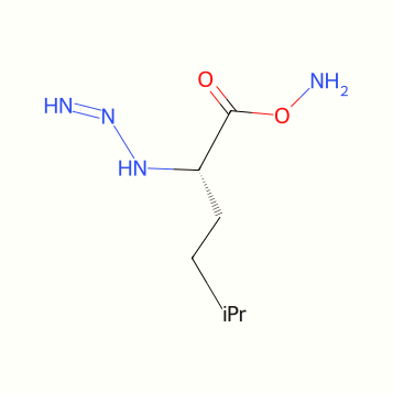 CC(C)CC[C@H](NN=N)C(=O)ON